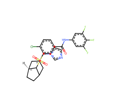 O=C(Nc1cc(F)c(F)c(F)c1)c1ccc(Cl)c(S(=O)(=O)C2C3CC[C@H]2C[C@H](Cn2ccnc2)C3)c1